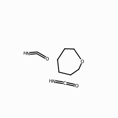 C1CCCOCC1.N=C=O.N=C=O